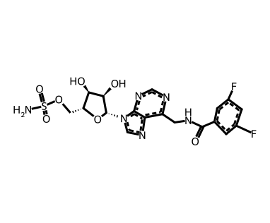 NS(=O)(=O)OC[C@H]1O[C@@H](n2cnc3c(CNC(=O)c4cc(F)cc(F)c4)ncnc32)[C@H](O)[C@@H]1O